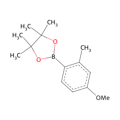 COc1ccc(B2OC(C)(C)C(C)(C)O2)c(C)c1